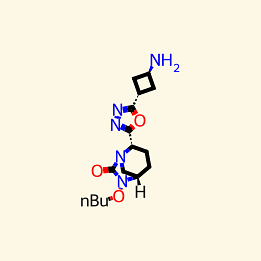 CCCCON1C(=O)N2C[C@@H]1CC[C@H]2c1nnc([C@H]2C[C@H](N)C2)o1